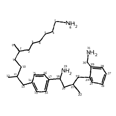 CC(CCCCCCN)CCC(C)Cc1ccc(C(N)CC(C)Cc2ccccc2CN)cc1